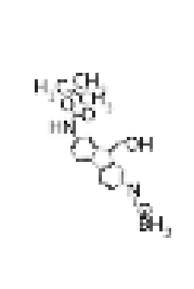 BOC=Nc1ccc2c(c1)/C(=C\O)c1cc(NC(=O)OC(C)(C)C)ccc1-2